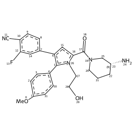 COc1ccc(-c2c(-c3ccc(C#N)c(F)c3)cc(C(=O)N3CCC[C@@H](N)C3)n2CCO)cc1